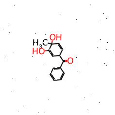 CC1(O)C=CC(C(=O)c2ccccc2)C=C1O